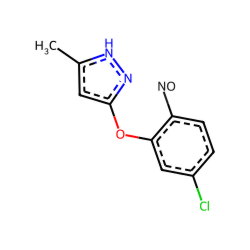 Cc1cc(Oc2cc(Cl)ccc2N=O)n[nH]1